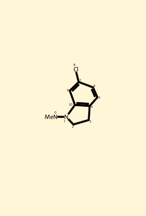 CNN1CCc2ccc(Cl)cc21